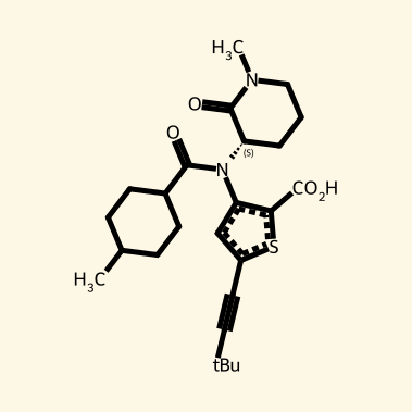 CC1CCC(C(=O)N(c2cc(C#CC(C)(C)C)sc2C(=O)O)[C@H]2CCCN(C)C2=O)CC1